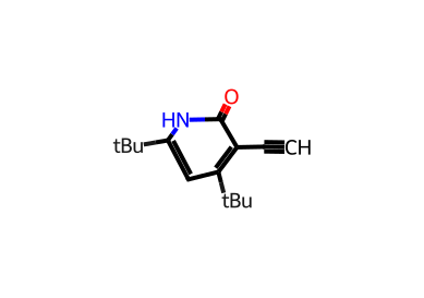 C#Cc1c(C(C)(C)C)cc(C(C)(C)C)[nH]c1=O